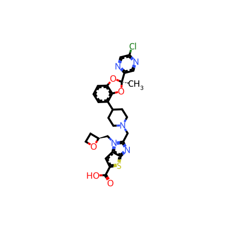 C[C@@]1(c2cnc(Cl)cn2)Oc2cccc(C3CCN(Cc4nc5sc(C(=O)O)cc5n4C[C@@H]4CCO4)CC3)c2O1